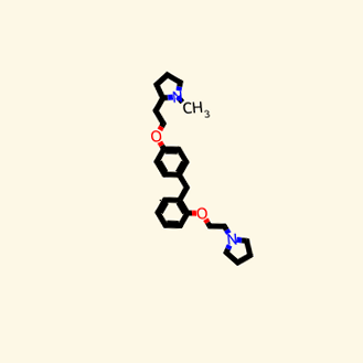 CN1CCCC1CCOc1ccc(Cc2[c]cccc2OCCN2CCCC2)cc1